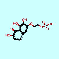 O=c1c(O)cccc2cc(OCCOS(=O)(=O)O)c(O)c(O)c12